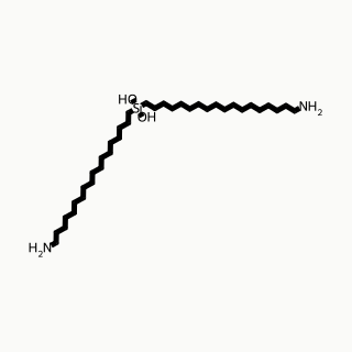 NCCCCCCCCCCCCCCCCCC[Si](O)(O)CCCCCCCCCCCCCCCCCCN